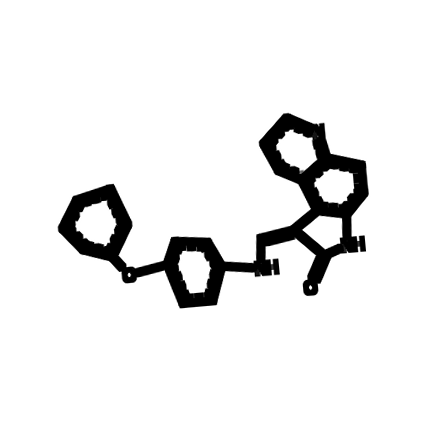 O=C1Nc2ccc3ncccc3c2/C1=C/Nc1ccc(Oc2ccccc2)cc1